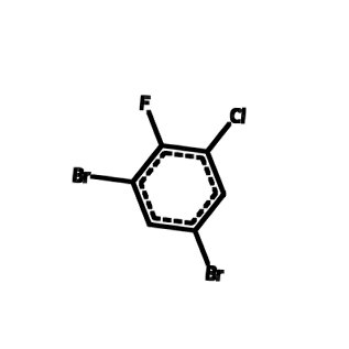 Fc1c(Cl)cc(Br)cc1Br